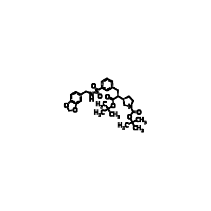 CC(C)(C)OC(=O)[C@@H](Cc1cccc(S(=O)(=O)NCc2ccc3c(c2)OCO3)c1)[C@H]1CCN(C(=O)OC(C)(C)C)C1